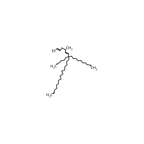 C=CCCCCCCCCCCCCCCC(C=CC(C)CC=CCC)(CCCCC=C)CCCCCCCCC=C